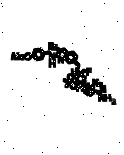 COc1ccc(CNc2nc3cc(CCC4(CF)C[C@@H](n5ccc6c(N)ncnc65)[C@@H]5OC(C)(C)O[C@@H]54)ccc3cc2Br)cc1